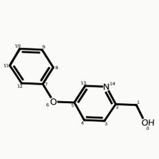 OCc1ccc(Oc2ccccc2)cn1